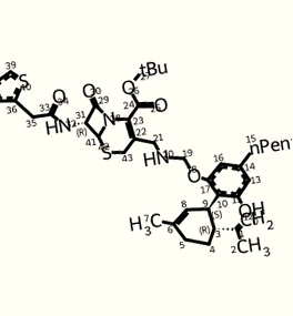 C=C(C)[C@@H]1CCC(C)=C[C@H]1c1c(O)cc(CCCCC)cc1OCNCC1=C(C(=O)OC(C)(C)C)N2C(=O)[C@@H](NC(=O)Cc3cccs3)C2SC1